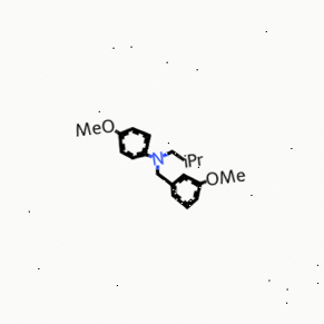 COc1ccc(N(Cc2cccc(OC)c2)CC(C)C)cc1